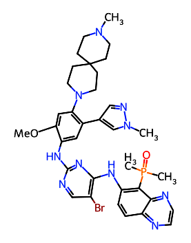 COc1cc(N2CCC3(CCN(C)CC3)CC2)c(-c2cnn(C)c2)cc1Nc1ncc(Br)c(Nc2ccc3nccnc3c2P(C)(C)=O)n1